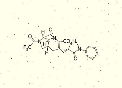 O=C(O)C1=C(/C=C2\CCN(c3ccccc3)C2=O)C[C@@H]2CN(C(=O)C(F)(F)F)[C@@H]3C(=O)N1[C@H]23